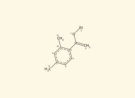 C=C(OCC)c1ccc(C)cc1C